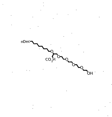 CCCCCCCCCCCCCCCCCCOC(COCCOCCOCCOCCO)CC(=O)O